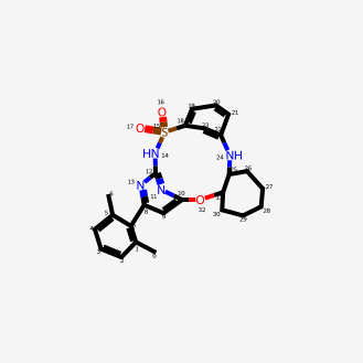 Cc1cccc(C)c1-c1cc2nc(n1)NS(=O)(=O)c1cccc(c1)NC1CCCCCC1O2